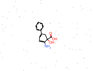 NC1=CC=C(c2ccccc2)CC1(O)C(=O)O